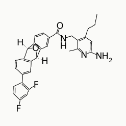 CCCc1cc(N)nc(C)c1CNC(=O)c1ccc2c(c1)[C@@H]1O[C@H]2c2ccc(-c3ccc(F)cc3F)cc21